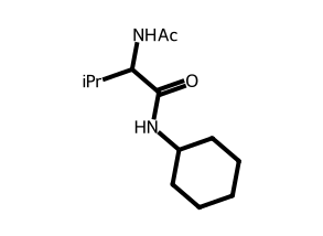 CC(=O)NC(C(=O)NC1CCCCC1)C(C)C